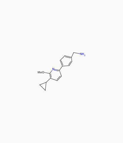 COc1nc(-c2ccc(CN)cc2)ccc1C1CC1